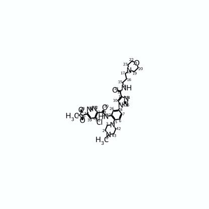 CN1CCN(c2ccc(-n3cc(C(=O)NCCCN4CCOCC4)nn3)cc2NC(=O)c2nnc(S(C)(=O)=O)cc2Cl)CC1